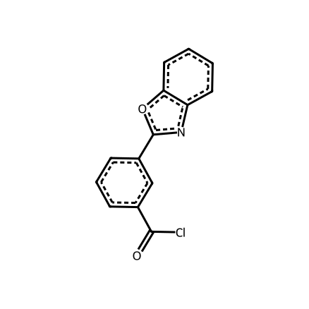 O=C(Cl)c1cccc(-c2nc3ccccc3o2)c1